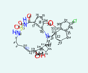 O=C1NS(=O)(=O)NCCC/C=C/[C@H](O)[C@@H]2CC[C@H]2CN2C[C@@]3(CCCc4cc(Cl)ccc43)COc3ccc1cc32